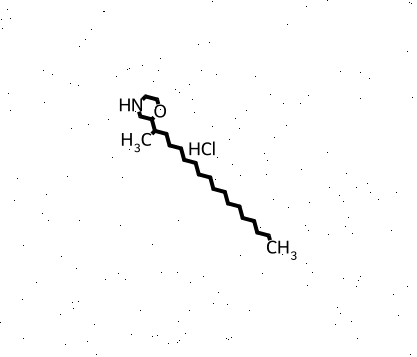 CCCCCCCCCCCCCCCCC(C)C1CNCCO1.Cl